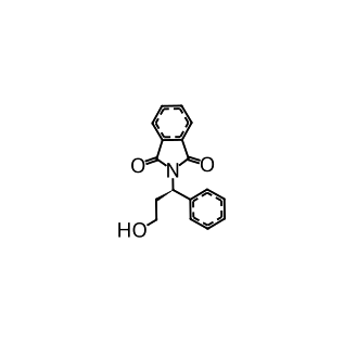 O=C1c2ccccc2C(=O)N1[C@H](CCO)c1ccccc1